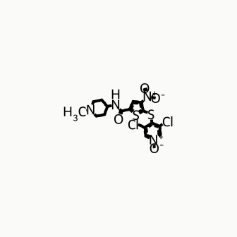 CN1CCC(NC(=O)c2cc([N+](=O)[O-])c(Sc3c(Cl)c[n+]([O-])cc3Cl)s2)CC1